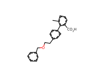 Cc1cccc(C(=O)O)c1-c1ccc(CCOCc2ccccc2)cc1